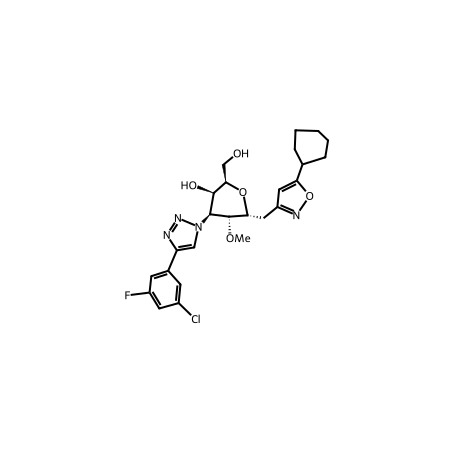 CO[C@@H]1[C@@H](n2cc(-c3cc(F)cc(Cl)c3)nn2)[C@@H](O)[C@@H](CO)O[C@@H]1Cc1cc(C2CCCCC2)on1